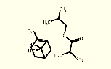 CC(C)COC(=O)C(C)C.CC1=C2CC(CC1)C2(C)C